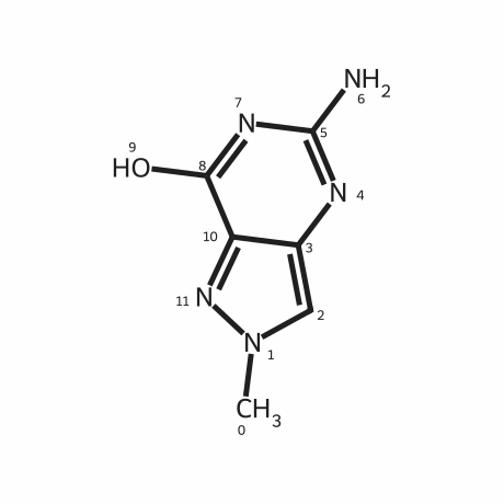 Cn1cc2nc(N)nc(O)c2n1